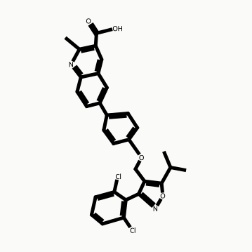 Cc1nc2ccc(-c3ccc(OCc4c(-c5c(Cl)cccc5Cl)noc4C(C)C)cc3)cc2cc1C(=O)O